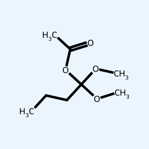 CCCC(OC)(OC)OC(C)=O